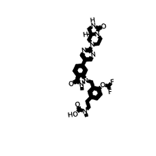 CN(CCc1ccc(OC(F)F)c(Cn2c3cc(-c4cnc(N5CCN6C(=O)NC[C@@H]6C5)nc4)ccc3c(=O)n2C)c1)C(=O)O